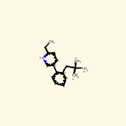 CCc1ccc(-c2ccccc2CC(C)(C)C)cn1